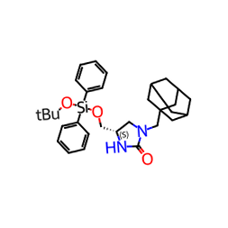 CC(C)(C)O[Si](OC[C@@H]1CN(CC23CC4CC(CC(C4)C2)C3)C(=O)N1)(c1ccccc1)c1ccccc1